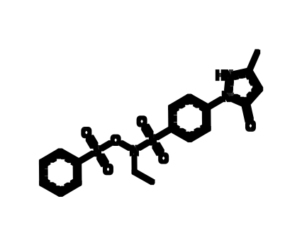 CCN(OS(=O)(=O)c1ccccc1)S(=O)(=O)c1ccc(-n2[nH]c(C)cc2=O)cc1